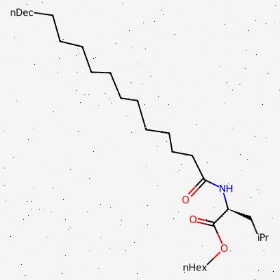 CCCCCCCCCCCCCCCCCCCCCC(=O)N[C@@H](CC(C)C)C(=O)OCCCCCC